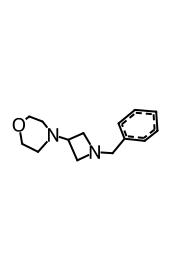 c1ccc(CN2CC(N3CCOCC3)C2)cc1